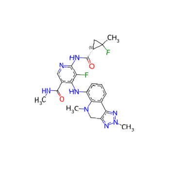 CNC(=O)c1cnc(NC(=O)[C@@H]2CC2(C)F)c(F)c1Nc1cccc2c1N(C)Cc1nn(C)nc1-2